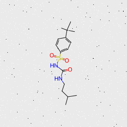 CC(C)CCNC(=O)NS(=O)(=O)c1ccc(C(C)(C)C)cc1